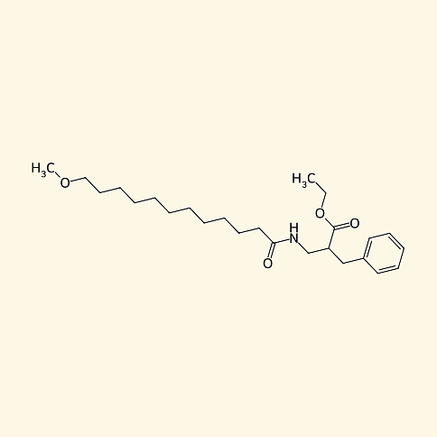 CCOC(=O)C(CNC(=O)CCCCCCCCCCCOC)Cc1ccccc1